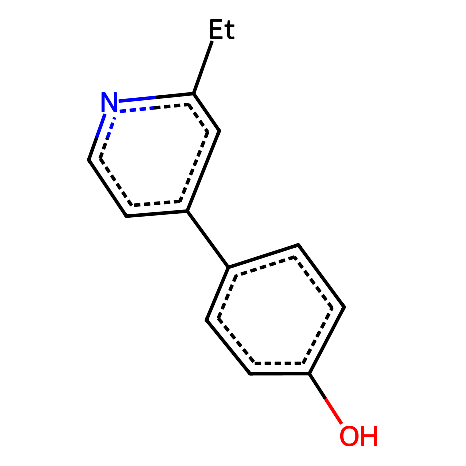 CCc1cc(-c2ccc(O)cc2)ccn1